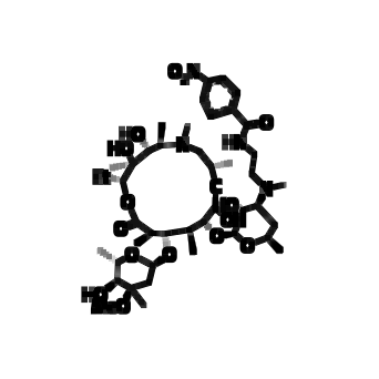 CC[C@H]1OC(=O)[C@H](C)[C@@H](O[C@H]2C[C@@](C)(OC)[C@@H](O)[C@H](C)O2)[C@H](C)[C@@H](O[C@@H]2O[C@H](C)C[C@H](N(C)CCNC(=O)c3ccc([N+](=O)[O-])cc3)[C@H]2O)[C@](C)(O)C[C@@H](C)CN(C)[C@H](C)[C@@H](O)[C@]1(C)O